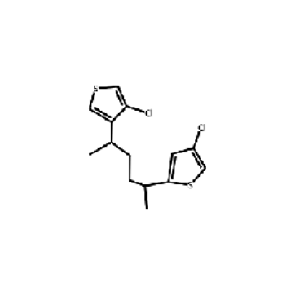 CC(CCC(C)c1cscc1Cl)c1cc(Cl)cs1